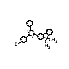 CC1(C)c2ccccc2-c2cc(-c3cc(-c4ccccc4)nc(-c4ccc(Br)cc4)n3)ccc21